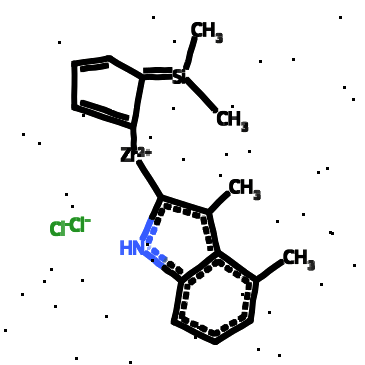 Cc1cccc2[nH][c]([Zr+2][C]3=CC=CC3=[Si](C)C)c(C)c12.[Cl-].[Cl-]